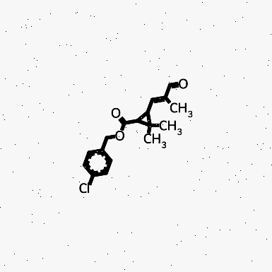 C/C(C=O)=C\C1C(C(=O)OCc2ccc(Cl)cc2)C1(C)C